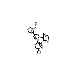 COc1ccc(-n2nc(N3CCC[C@H]3CF)cc2-c2cnccn2)nn1